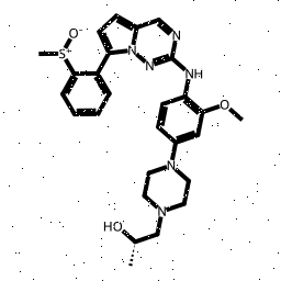 COc1cc(N2CCN(C[C@H](C)O)CC2)ccc1Nc1ncc2ccc(-c3ccccc3[S+](C)[O-])n2n1